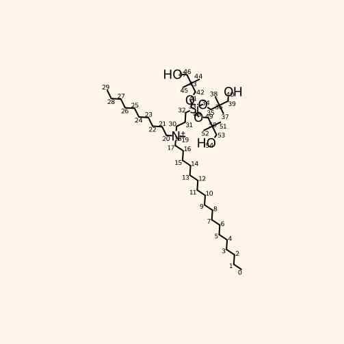 CCCCCCCCCCCCCCCCCC[N+](C)(CCCCCCCCCC)CCC[Si](OCC(C)(C)CO)(OCC(C)(C)CO)OCC(C)(C)CO